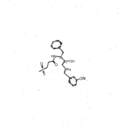 COc1cccc(CNC[C@H](O)[C@H](Cc2ccccc2)NC(=O)CCS(C)(=O)=O)c1